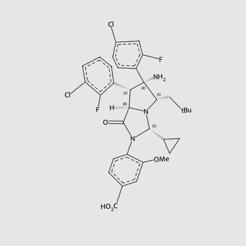 COc1cc(C(=O)O)ccc1N1C(=O)[C@H]2[C@H](c3cccc(Cl)c3F)[C@@](N)(c3ccc(Cl)cc3F)[C@H](CC(C)(C)C)N2[C@@H]1C1CC1